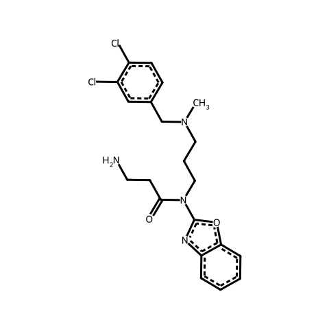 CN(CCCN(C(=O)CCN)c1nc2ccccc2o1)Cc1ccc(Cl)c(Cl)c1